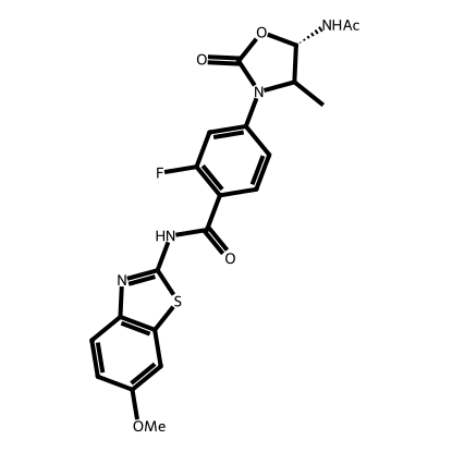 COc1ccc2nc(NC(=O)c3ccc(N4C(=O)O[C@H](NC(C)=O)C4C)cc3F)sc2c1